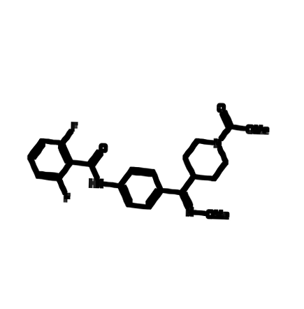 CO/N=C(/c1ccc(NC(=O)c2c(F)cccc2F)cc1)C1CCN(C(=O)OC)CC1